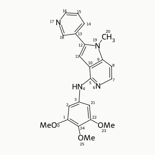 COc1cc(Nc2nccc3c2cc(-c2cccnc2)n3C)cc(OC)c1OC